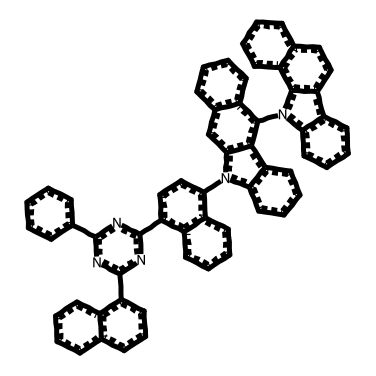 c1ccc(-c2nc(-c3cccc4ccccc34)nc(-c3ccc(-n4c5ccccc5c5c(-n6c7ccccc7c7ccc8ccccc8c76)c6ccccc6cc54)c4ccccc34)n2)cc1